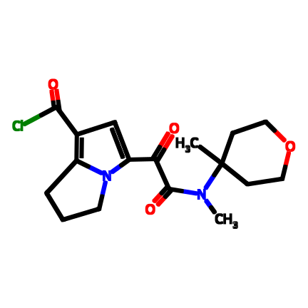 CN(C(=O)C(=O)c1cc(C(=O)Cl)c2n1CCC2)C1(C)CCOCC1